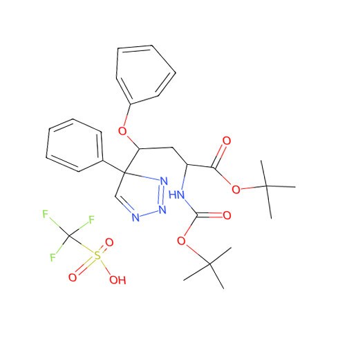 CC(C)(C)OC(=O)NC(CC(Oc1ccccc1)C1(c2ccccc2)C=NN=N1)C(=O)OC(C)(C)C.O=S(=O)(O)C(F)(F)F